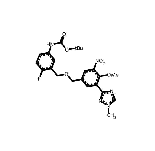 COc1c(-c2ncn(C)n2)cc(COCc2cc(NC(=O)OC(C)(C)C)ccc2F)cc1[N+](=O)[O-]